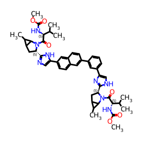 COC(=O)N[C@H](C(=O)N1C2C(C)C2C[C@H]1c1nc(-c2cccc(-c3ccc4cc(-c5cnc([C@@H]6CC7C(C)C7N6C(=O)[C@@H](NC(=O)OC)C(C)C)[nH]5)ccc4c3)c2)c[nH]1)C(C)C